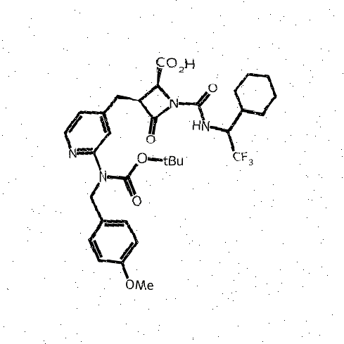 COc1ccc(CN(C(=O)OC(C)(C)C)c2cc(C[C@@H]3C(=O)N(C(=O)NC(C4CCCCC4)C(F)(F)F)[C@@H]3C(=O)O)ccn2)cc1